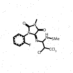 CSNC(N=C1C(=O)N(C)C(=O)N1c1ccccc1F)C(Cl)C(Cl)(Cl)Cl